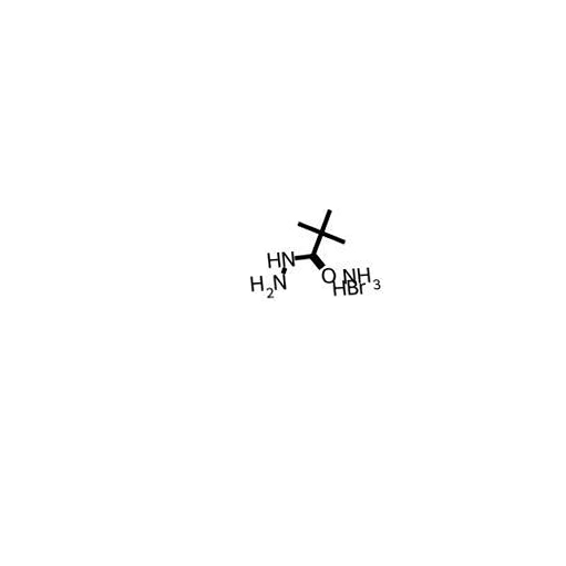 Br.CC(C)(C)C(=O)NN.N